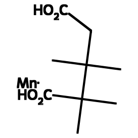 CC(C)(CC(=O)O)C(C)(C)C(=O)O.[Mn]